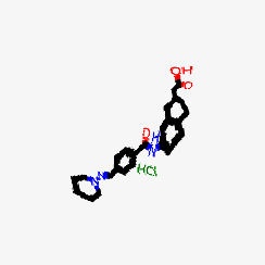 Cl.O=C(O)CC1CCc2ccc(NC(=O)c3ccc(C=NN4CCCCC4)cc3)cc2C1